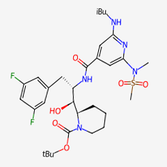 CCC(C)Nc1cc(C(=O)N[C@@H](Cc2cc(F)cc(F)c2)[C@H](O)[C@H]2CCCCN2C(=O)OC(C)(C)C)cc(N(C)S(C)(=O)=O)n1